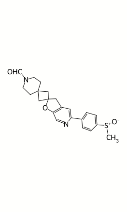 C[S+]([O-])c1ccc(-c2cc3c(cn2)OC2(C3)CC3(CCN(C=O)CC3)C2)cc1